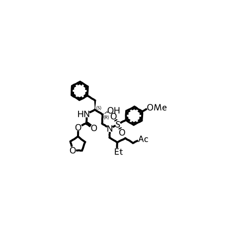 CCC(CCC(C)=O)CN(C[C@@H](O)[C@H](Cc1ccccc1)NC(=O)OC1CCOC1)S(=O)(=O)c1ccc(OC)cc1